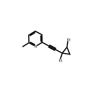 CCC1CC1(C#Cc1cccc(C)n1)CC